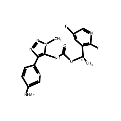 CC(=O)Nc1ccc(-c2nnn(C)c2NC(=O)O[C@H](C)c2cc(F)cnc2F)nc1